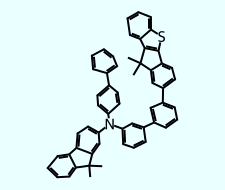 CC1(C)c2ccccc2-c2ccc(N(c3ccc(-c4ccccc4)cc3)c3cccc(-c4cccc(-c5ccc6c(c5)C(C)(C)c5c-6sc6ccccc56)c4)c3)cc21